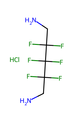 Cl.NCC(F)(F)C(F)(F)C(F)(F)CN